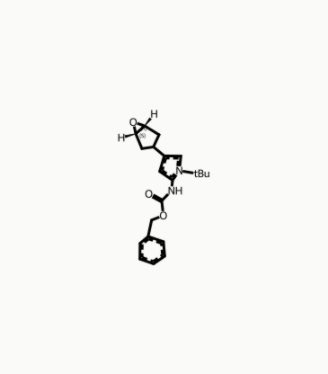 CC(C)(C)n1cc(C2C[C@@H]3O[C@@H]3C2)cc1NC(=O)OCc1ccccc1